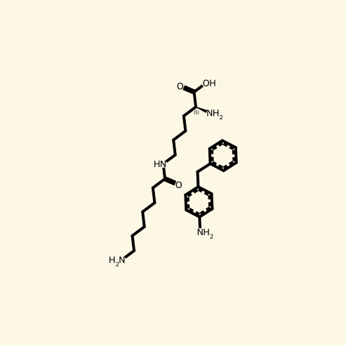 NCCCCCCC(=O)NCCCC[C@H](N)C(=O)O.Nc1ccc(Cc2ccccc2)cc1